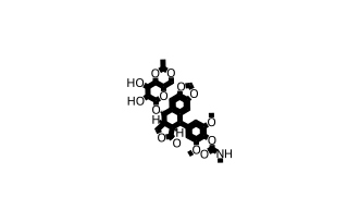 CNC(=O)Oc1c(OC)cc(C2c3cc4c(cc3[C@@H](OC3OC5COC(C)OC5C(O)C3O)[C@H]3COC(=O)[C@H]23)OCO4)cc1OC